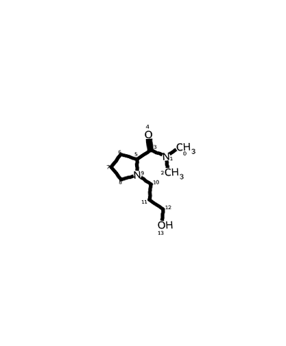 CN(C)C(=O)C1CCCN1CCCO